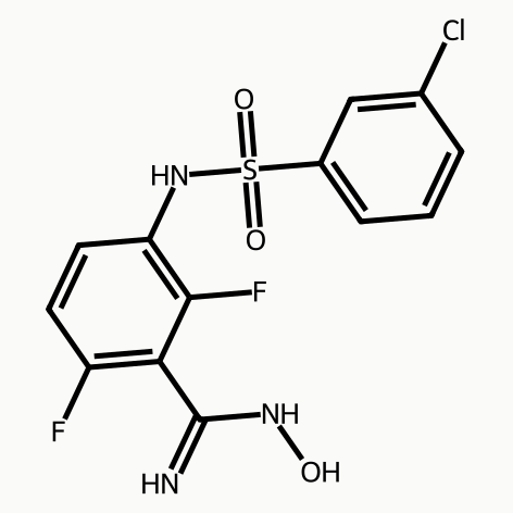 N=C(NO)c1c(F)ccc(NS(=O)(=O)c2cccc(Cl)c2)c1F